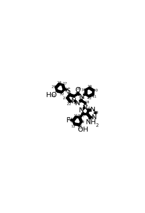 Nc1ncnc2c1c(-c1cc(O)cc(F)c1)nn2Cc1nn2ccc(Sc3cccc(O)c3)c2c(=O)n1-c1ccccc1